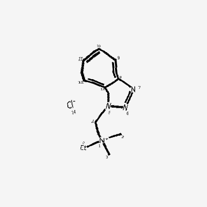 CC[N+](C)(C)Cn1nnc2ccccc21.[Cl-]